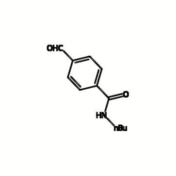 CCCCNC(=O)c1ccc(C=O)cc1